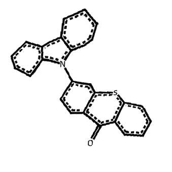 O=c1c2ccccc2sc2cc(-n3c4ccccc4c4ccccc43)ccc12